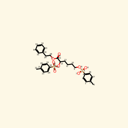 Cc1ccc(S(=O)(=O)OCCCCC(OS(=O)(=O)c2ccc(C)cc2)C(=O)OCCc2ccccc2)cc1